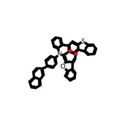 c1ccc(N(c2ccc(-c3ccc4ccccc4c3)cc2)c2cccc3c2oc2ccccc23)c(-c2ccc3c(c2)sc2ccccc23)c1